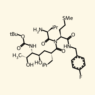 CSCC[C@@H](C(=O)NCc1ccc(F)cc1)N(C(=O)[C@H](CC(C)C)C[C@@H](O)[C@@H](NC(=O)OC(C)(C)C)[C@@H](C)O)C(=O)[C@@H](N)C(C)C